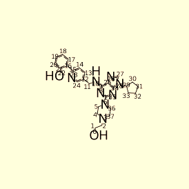 OCCN1CCN(c2nc(NCc3ccc(-c4ccccc4O)nc3)c3ncn(C4CCCC4)c3n2)CC1